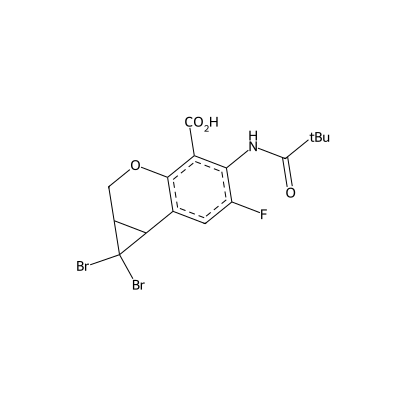 CC(C)(C)C(=O)Nc1c(F)cc2c(c1C(=O)O)OCC1C2C1(Br)Br